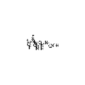 CSc1ccc(F)cc1[C@H]1C[C@H](F)CN1c1ccc2ncc(C(=O)NC3CCN(Cc4cccc(O)c4)C3)n2n1